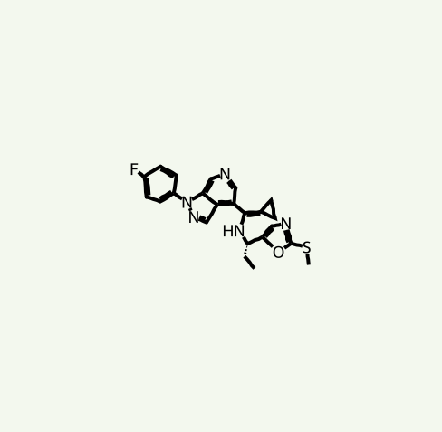 CC[C@H](NC(=C1CC1)c1cncc2c1cnn2-c1ccc(F)cc1)c1cnc(SC)o1